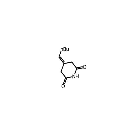 CCCCC=C1CC(=O)NC(=O)C1